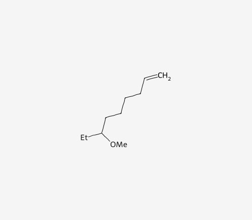 C=CCCCCC(CC)OC